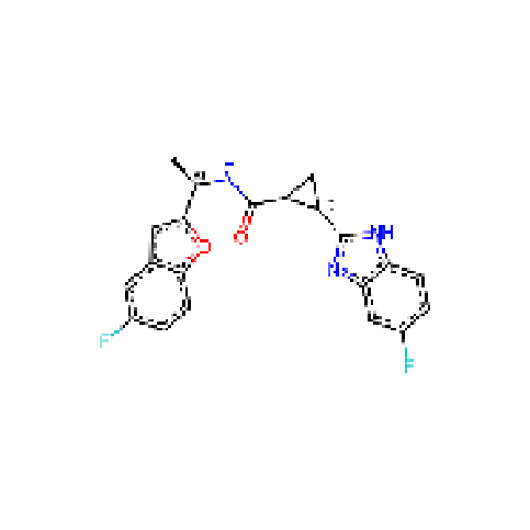 C[C@@H](NC(=O)C1C[C@@H]1c1nc2cc(F)ccc2[nH]1)c1cc2cc(F)ccc2o1